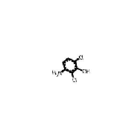 Nc1ccc(Cl)c(O)c1Cl